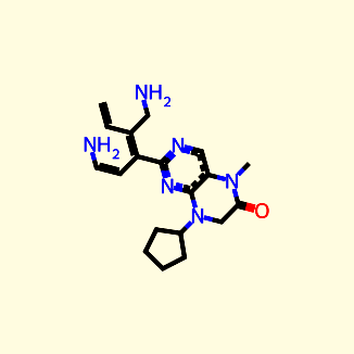 C=C/C(CN)=C(\C=C/N)c1ncc2c(n1)N(C1CCCC1)CC(=O)N2C